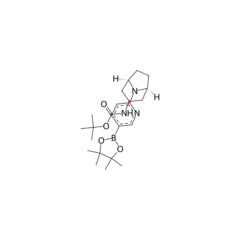 CC(C)(C)OC(=O)NC1C[C@H]2CC[C@@H](C1)N2c1ccc(B2OC(C)(C)C(C)(C)O2)cn1